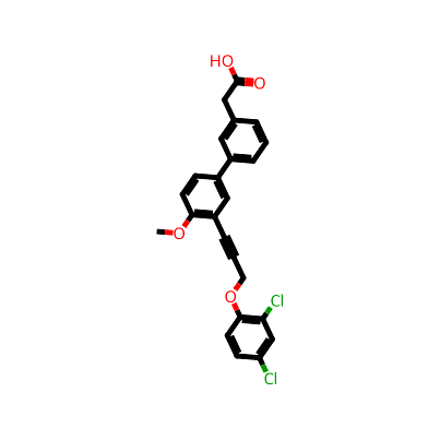 COc1ccc(-c2cccc(CC(=O)O)c2)cc1C#CCOc1ccc(Cl)cc1Cl